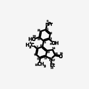 CCCc1cc(O)c(-c2c(C)cc(C)c3c2CC(=O)N3CC)c(O)c1